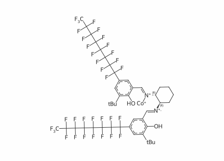 CC(C)(C)c1cc(C(F)(F)C(F)(F)C(F)(F)C(F)(F)C(F)(F)C(F)(F)C(F)(F)C(F)(F)F)cc(C=[N+][C@@H]2CCCC[C@H]2[N+]([Co+])=Cc2cc(C(F)(F)C(F)(F)C(F)(F)C(F)(F)C(F)(F)C(F)(F)C(F)(F)C(F)(F)F)cc(C(C)(C)C)c2O)c1O